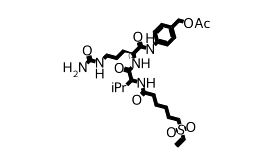 C=CS(=O)(=O)CCCCCC(=O)NC(C(=O)N[C@@H](CCCNC(N)=O)C(=O)Nc1ccc(COC(C)=O)cc1)C(C)C